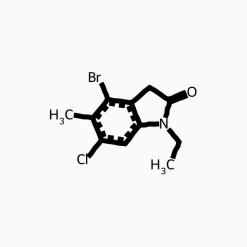 CCN1C(=O)Cc2c1cc(Cl)c(C)c2Br